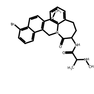 CNC(C)C(=O)NC1CCc2ccccc2N(Cc2c(OC)ccc3c(Br)cccc23)C1=O